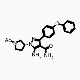 CC(=O)N1CC[C@@H](n2nc(-c3ccc(Oc4ccccc4)cc3)c(C(N)=O)c2N)C1